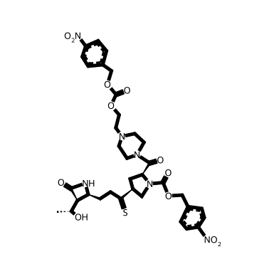 C[C@@H](O)[C@H]1C(=O)N[C@H]1CCC(=S)[C@H]1C[C@@H](C(=O)N2CCN(CCOC(=O)OCc3ccc([N+](=O)[O-])cc3)CC2)N(C(=O)OCc2ccc([N+](=O)[O-])cc2)C1